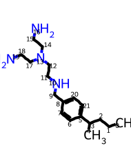 CCCC(C)c1ccc(CNCCN(CCN)CCN)cc1